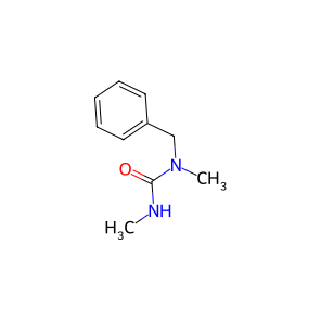 CNC(=O)N(C)Cc1ccccc1